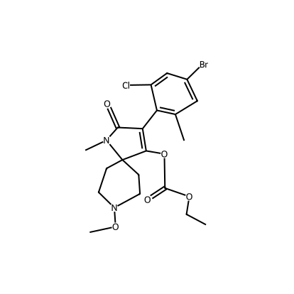 CCOC(=O)OC1=C(c2c(C)cc(Br)cc2Cl)C(=O)N(C)C12CCN(OC)CC2